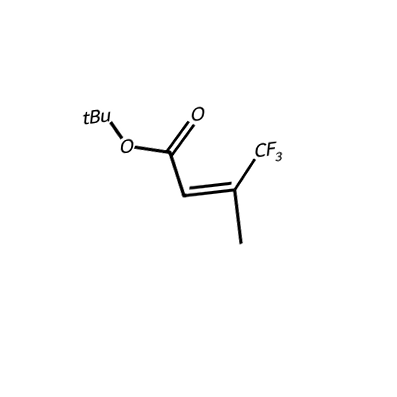 C/C(=C/C(=O)OC(C)(C)C)C(F)(F)F